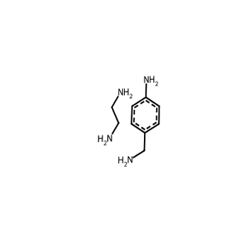 NCCN.NCc1ccc(N)cc1